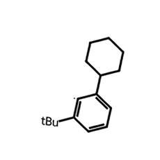 CC(C)(C)c1[c]c(C2CCCCC2)ccc1